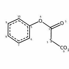 O=C(O)SC(=O)Oc1ccccc1